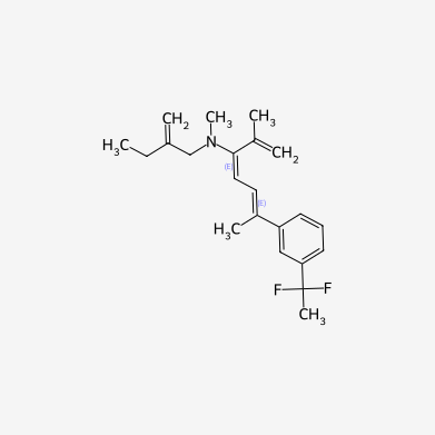 C=C(CC)CN(C)/C(=C/C=C(\C)c1cccc(C(C)(F)F)c1)C(=C)C